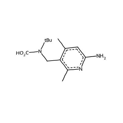 Cc1cc(N)nc(C)c1CN(C(=O)O)C(C)(C)C